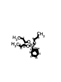 CCCO[Si](OCCC)(OCCC)C1CC2C=CC1C2